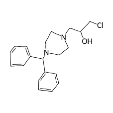 OC(CCl)CN1CCN(C(c2ccccc2)c2ccccc2)CC1